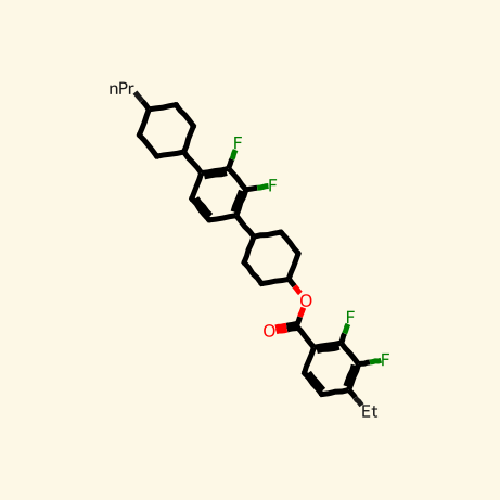 CCCC1CCC(c2ccc(C3CCC(OC(=O)c4ccc(CC)c(F)c4F)CC3)c(F)c2F)CC1